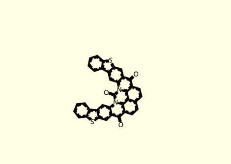 O=c1c2cc3sc4ccccc4c3cc2n2c(=O)n3c4cc5c(cc4c(=O)c4ccc6ccc1c2c6c43)sc1ccccc15